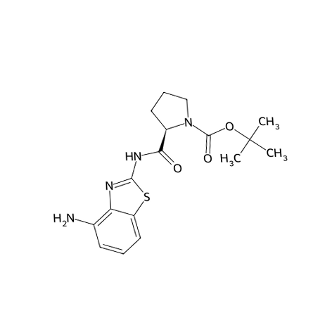 CC(C)(C)OC(=O)N1CCC[C@@H]1C(=O)Nc1nc2c(N)cccc2s1